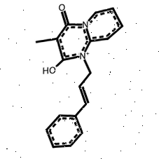 Cc1c(O)[n+](CC=Cc2ccccc2)c2ccccn2c1=O